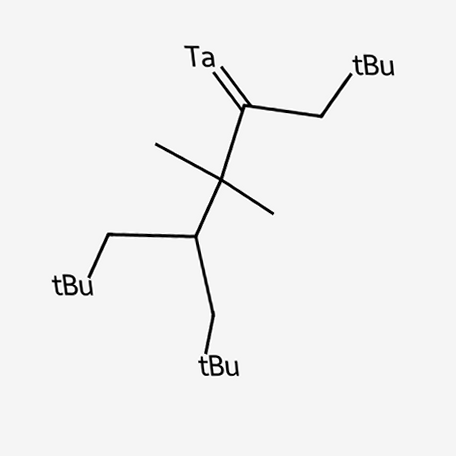 CC(C)(C)C[C](=[Ta])C(C)(C)C(CC(C)(C)C)CC(C)(C)C